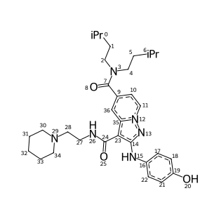 CC(C)CCN(CCC(C)C)C(=O)c1ccn2nc(Nc3ccc(O)cc3)c(C(=O)NCCN3CCCCC3)c2c1